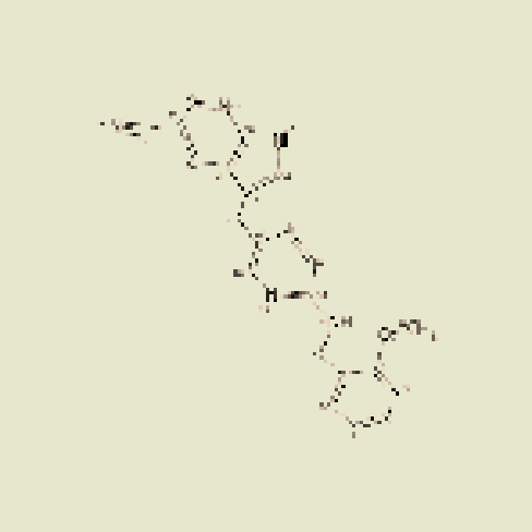 COc1ncccc1CNc1ccc(Cc2c[nH]c3ncc(C#N)cc23)cn1